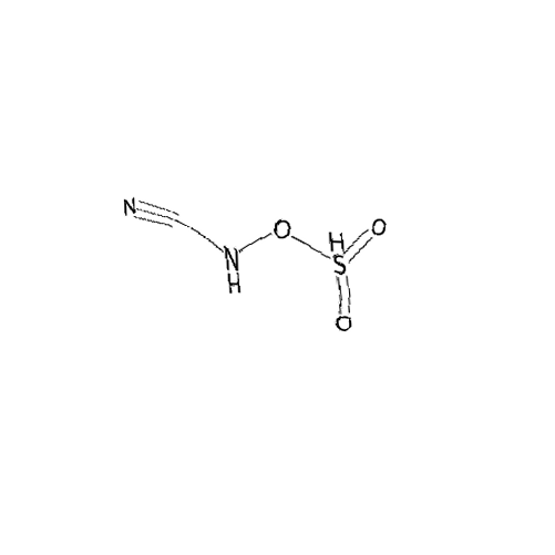 N#CNO[SH](=O)=O